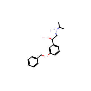 CC(C)NCC(O)c1cccc(OCc2ccccc2)c1